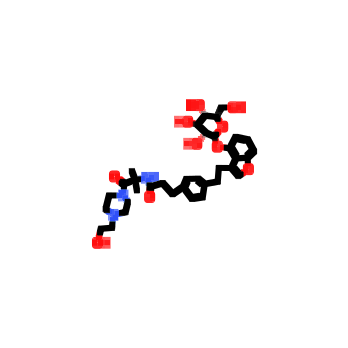 CC(C)(NC(=O)CCc1ccc(CCc2coc3cccc(O[C@@H]4O[C@H](CO)[C@@H](O)[C@H](O)[C@H]4O)c23)cc1)C(=O)N1CCN(CCO)CC1